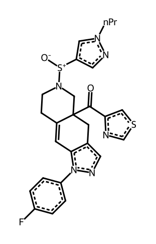 CCCn1cc([S+]([O-])N2CCC3=Cc4c(cnn4-c4ccc(F)cc4)CC3(C(=O)c3cscn3)C2)cn1